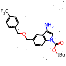 CC(C)(C)OC(=O)n1cc(N)c2cc(COCc3ccc(C(F)(F)F)cc3)ccc21